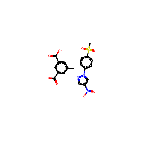 CS(=O)(=O)c1ccc(-n2cc([N+](=O)[O-])cn2)cc1.Cc1cc(C(=O)O)cc(C(=O)O)c1